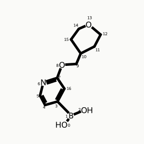 OB(O)c1ccnc(OCC2CCOCC2)c1